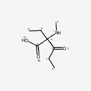 CCC(=O)C(CC)(NC)C(=O)O